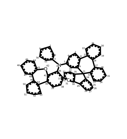 c1ccc(N(c2ccc3c(c2)C2(c4ccccc4-c4ccccc4-3)c3ccccc3-c3ccccc32)c2cccc3c2Oc2ccccc2-c2ccccc2-3)cc1